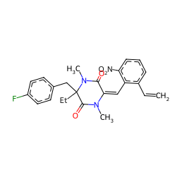 C=Cc1cccc([N+](=O)[O-])c1/C=C1\C(=O)N(C)C(CC)(Cc2ccc(F)cc2)C(=O)N1C